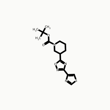 CC(C)(C)OC(=O)N1CCCC(c2nc(-c3cscn3)no2)C1